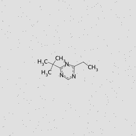 CCc1ncnc(C(C)(C)C)n1